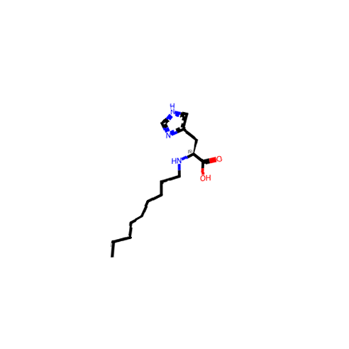 CCCCCCCCCN[C@@H](Cc1c[nH]cn1)C(=O)O